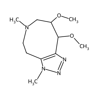 COC1CN(C)CCc2c(nnn2C)C1OC